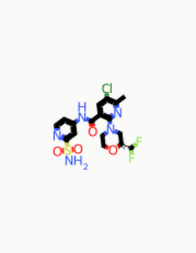 Cc1nc(N2CCO[C@@H](C(F)F)C2)c(C(=O)Nc2ccnc(S(N)(=O)=O)c2)cc1Cl